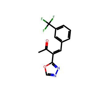 CC(=O)C(=Cc1cccc(C(F)(F)F)c1)c1nnco1